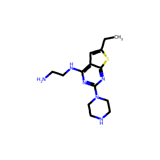 CCc1cc2c(NCCN)nc(N3CCNCC3)nc2s1